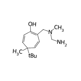 CN(CN)CC1=C(O)C=CC(C)(C(C)(C)C)C=C1